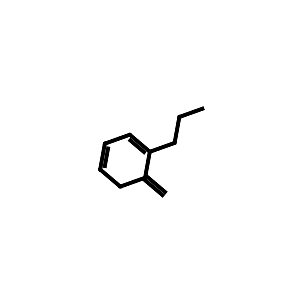 C=C1CC=CC=C1CCC